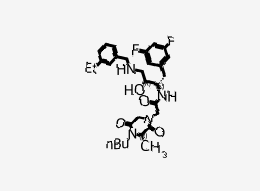 CCCCN1C(=O)CN(CC(=O)N[C@@H](Cc2cc(F)cc(F)c2)[C@H](O)CNCc2cccc(CC)c2)C(=O)[C@H]1C